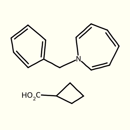 C1=CC=CN(Cc2ccccc2)C=C1.O=C(O)C1CCC1